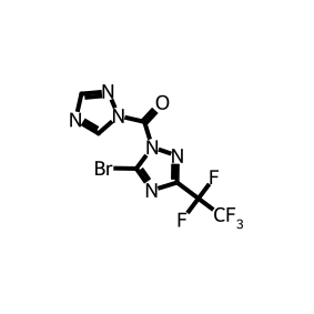 O=C(n1cncn1)n1nc(C(F)(F)C(F)(F)F)nc1Br